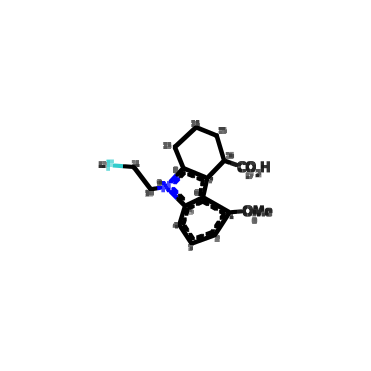 COc1cccc2c1c1c(n2CCF)CCCC1C(=O)O